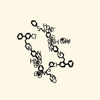 CO.CO.O=[N+]([O-])c1cc(S(=O)(=O)Nc2ncnc3cc(N4CCC(Cc5cc(Cl)ccc5-c5ccccc5)CC4)ccc23)ccc1NC(CCN1CCOCC1)CSc1ccccc1.O=[N+]([O-])c1cc(S(=O)(=O)Nc2ncnc3cc(N4CCC(Cc5cc(Cl)ccc5-c5ccccc5)CC4)ccc23)ccc1NCCSc1ccccc1